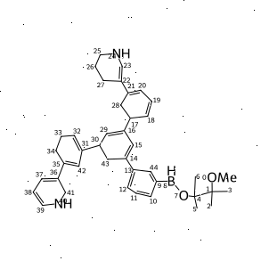 COC(C)(C)C(C)(C)OBc1cccc(C2=CC(C3C=CC=C(C4=CNCCC4)C3)=CC(C3=CCCC(C4=CC=CNC4)=C3)C2)c1